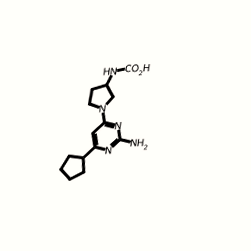 Nc1nc(C2CCCC2)cc(N2CCC(NC(=O)O)C2)n1